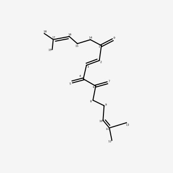 C=C(C=CC(=C)C(=C)CCC=C(C)C)CCC=C(C)C